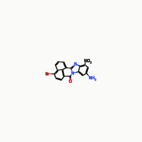 Nc1cc([N+](=O)[O-])c2nc3c4cccc5c(Br)ccc(c(=O)n3c2c1)c54